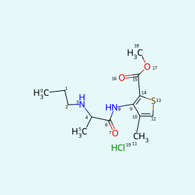 CCCNC(C)C(=O)Nc1c(C)csc1C(=O)OC.Cl